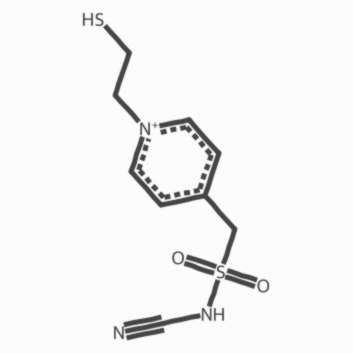 N#CNS(=O)(=O)Cc1cc[n+](CCS)cc1